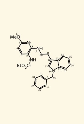 CCOC(=O)Nc1ccc(OC)nc1NCCc1cn(Cc2ccccc2)c2ccccc12